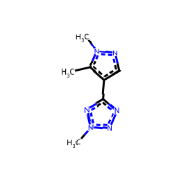 Cc1c(-c2nnn(C)n2)cnn1C